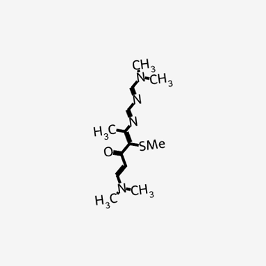 CS\C(C(=O)/C=C/N(C)C)=C(C)/N=C/N=C/N(C)C